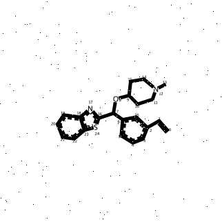 C=Cc1cccc(C(OC2CCN(C)CC2)c2nc3ccccc3s2)c1